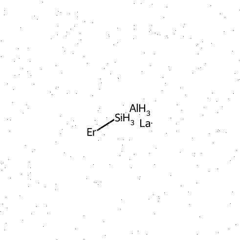 [AlH3].[La].[SiH3][Er]